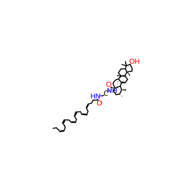 CC/C=C\C/C=C\C/C=C\C/C=C\C/C=C\C/C=C\CCC(=O)NCCNC(=O)[C@]12CC[C@@H](C)[C@H](C)C1C1=CCC3[C@@]4(C)CC[C@H](O)C(C)(C)C4CC[C@@]3(C)[C@]1(C)CC2